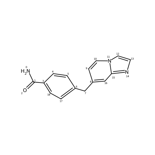 NC(=O)c1ccc(Cc2ccn3ccnc3c2)cc1